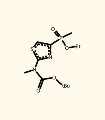 CCOP(C)(=O)c1csc(N(C)C(=O)OC(C)(C)C)n1